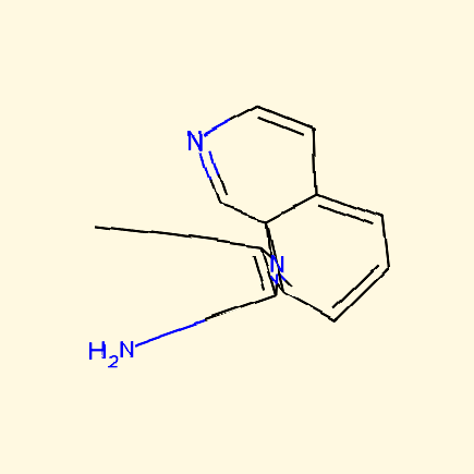 CC1=C(N)N=C2C=CC=C3C=CN=CC32C1